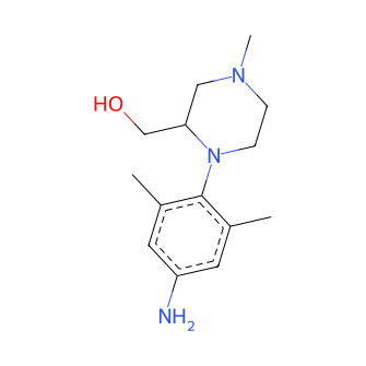 Cc1cc(N)cc(C)c1N1CCN(C)CC1CO